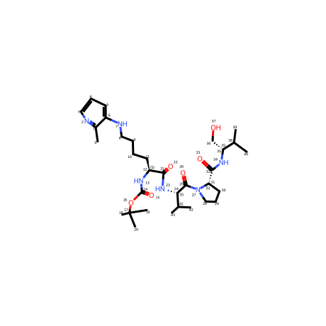 Cc1ncccc1NCCCC[C@H](NC(=O)OC(C)(C)C)C(=O)N[C@H](C(=O)N1CCC[C@H]1C(=O)N[C@H](CO)C(C)C)C(C)C